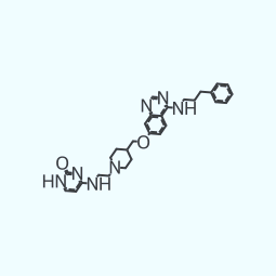 O=c1nc(NCCN2CCC(COc3ccc4c(NCCCc5ccccc5)ncnc4c3)CC2)cc[nH]1